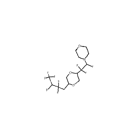 FC(C(F)(F)F)C(F)(F)CC1COC(C(F)(F)C(F)N2CCOCC2)CO1